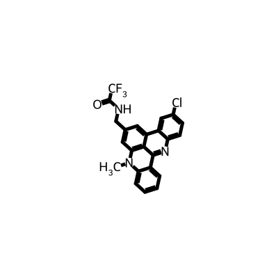 CN1c2ccccc2-c2nc3ccc(Cl)cc3c3cc(CNC(=O)C(F)(F)F)cc1c23